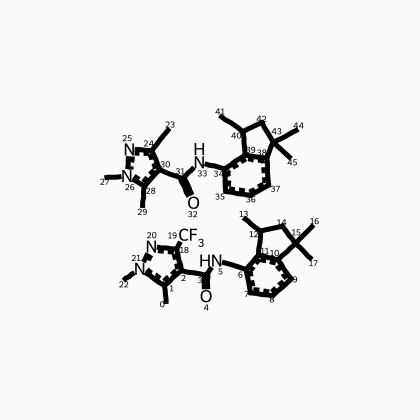 Cc1c(C(=O)Nc2cccc3c2C(C)CC3(C)C)c(C(F)(F)F)nn1C.Cc1nn(C)c(C)c1C(=O)Nc1cccc2c1C(C)CC2(C)C